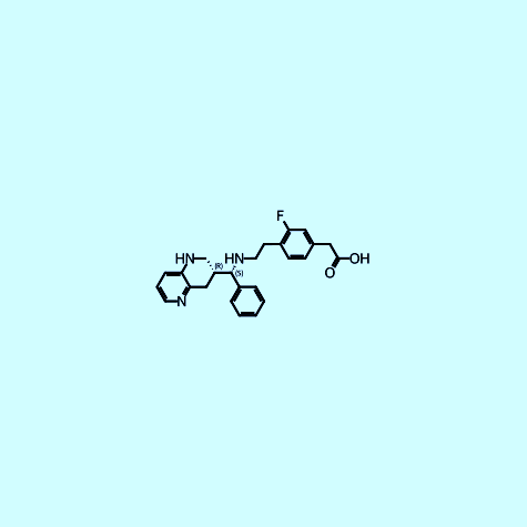 O=C(O)Cc1ccc(CCN[C@H](c2ccccc2)[C@H]2CNc3cccnc3C2)c(F)c1